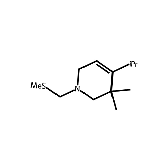 CSCN1CC=C(C(C)C)C(C)(C)C1